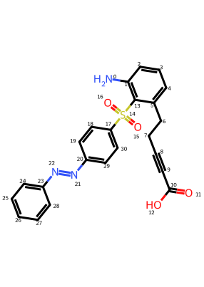 Nc1cccc(CCC#CC(=O)O)c1S(=O)(=O)c1ccc(N=Nc2ccccc2)cc1